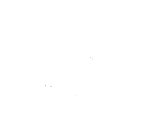 CCOc1ccc2cnc(OC)c(-c3ccc(Cl)cc3)c2n1